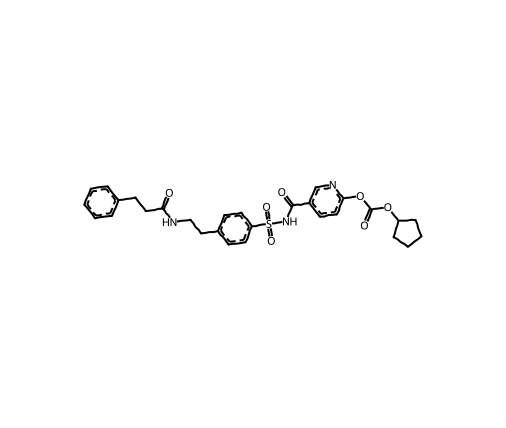 O=C(CCc1ccccc1)NCCc1ccc(S(=O)(=O)NC(=O)c2ccc(OC(=O)OC3CCCC3)nc2)cc1